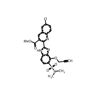 C#CCOc1c(S(=O)(=O)N(C)C)ccc2[nH]c(-c3nc4ccc(Cl)cc4cc3C(=O)OC)nc12